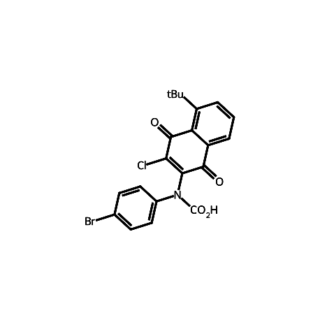 CC(C)(C)c1cccc2c1C(=O)C(Cl)=C(N(C(=O)O)c1ccc(Br)cc1)C2=O